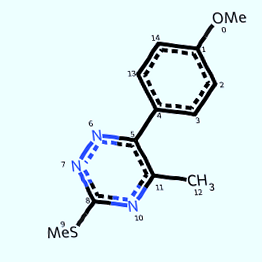 COc1ccc(-c2nnc(SC)nc2C)cc1